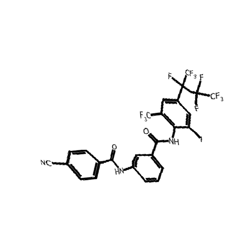 N#Cc1ccc(C(=O)Nc2cccc(C(=O)Nc3c(I)cc(C(F)(C(F)(F)F)C(F)(F)C(F)(F)F)cc3C(F)(F)F)c2)cc1